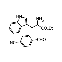 CCOC(=O)C(N)Cc1c[nH]c2ccccc12.N#Cc1ccc(C=O)cc1